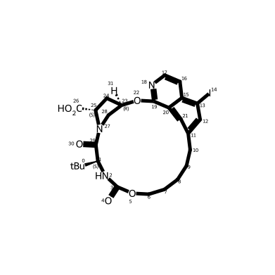 CC(C)(C)[C@@H]1NC(=O)OCCCCCc2cc(I)c3ccnc(c3c2)O[C@@H]2C[C@@H](C(=O)O)N(C2)C1=O